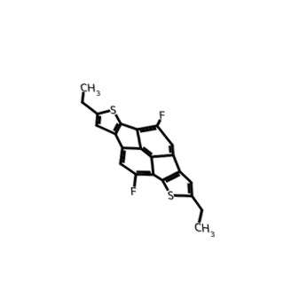 CCc1cc2c(s1)-c1c(F)cc3c4c(c(F)cc-2c14)-c1sc(CC)cc1-3